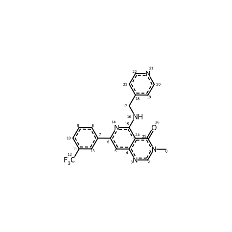 Cn1cnc2cc(-c3cccc(C(F)(F)F)c3)nc(NCc3ccncc3)c2c1=O